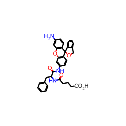 Nc1ccc2c(c1)Oc1cc(NC(=O)C(Cc3ccccc3)NC(=O)CCCC(=O)O)ccc1C21OCc2ccccc21